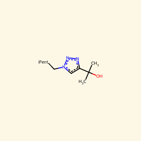 CCCC(C)Cn1cc(C(C)(C)O)nn1